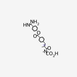 C/C(=C\c1ccc(C(=O)Oc2ccc(C(=N)N)cc2)cc1)C(=O)N(C)C(=O)O